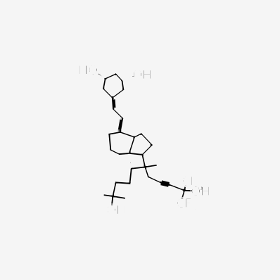 CC(C)(O)CCCC(C)(CC#CC(O)(C(F)(F)F)C(F)(F)F)C1CCC2/C(=C/C=C3C[C@@H](O)C[C@H](O)C3)CCC[C@@]21C